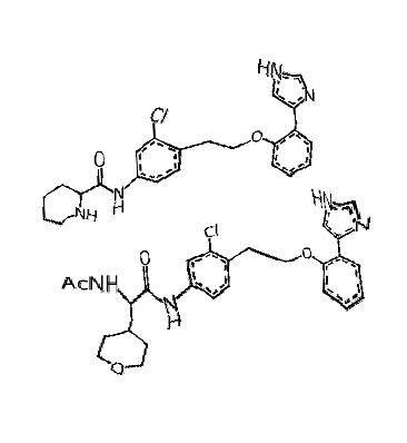 CC(=O)NC(C(=O)Nc1ccc(CCOc2ccccc2-c2c[nH]cn2)c(Cl)c1)C1CCOCC1.O=C(Nc1ccc(CCOc2ccccc2-c2c[nH]cn2)c(Cl)c1)C1CCCCN1